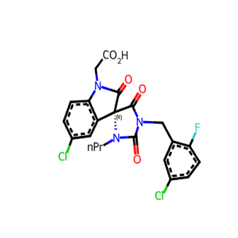 CCCN1C(=O)N(Cc2cc(Cl)ccc2F)C(=O)[C@@]12C(=O)N(CC(=O)O)c1ccc(Cl)cc12